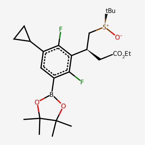 CCOC(=O)C[C@H](C[S@+]([O-])C(C)(C)C)c1c(F)c(B2OC(C)(C)C(C)(C)O2)cc(C2CC2)c1F